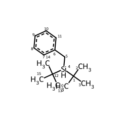 CC(C)(C)[SiH](Cc1ccccc1)C(C)(C)C